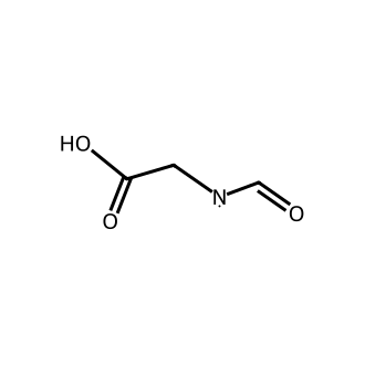 O=C[N]CC(=O)O